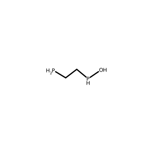 OPCCP